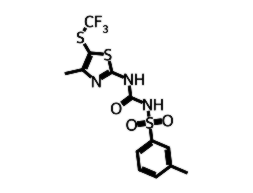 Cc1cccc(S(=O)(=O)NC(=O)Nc2nc(C)c(SC(F)(F)F)s2)c1